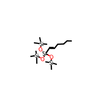 CCCCC=C[Si](O[Si](C)(C)C)(O[Si](C)(C)C)O[Si](C)(C)C